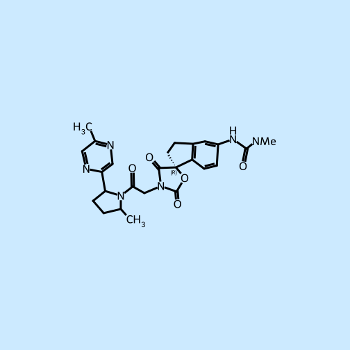 CNC(=O)Nc1ccc2c(c1)CC[C@@]21OC(=O)N(CC(=O)N2C(C)CCC2c2cnc(C)cn2)C1=O